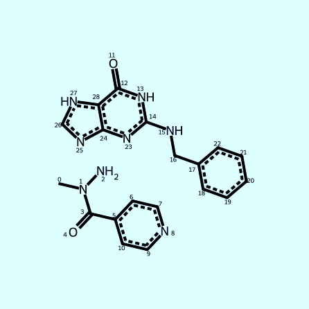 CN(N)C(=O)c1ccncc1.O=c1[nH]c(NCc2ccccc2)nc2nc[nH]c12